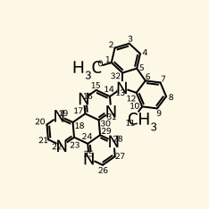 Cc1cccc2c3cccc(C)c3n(-c3cnc4c5nccnc5c5nccnc5c4n3)c12